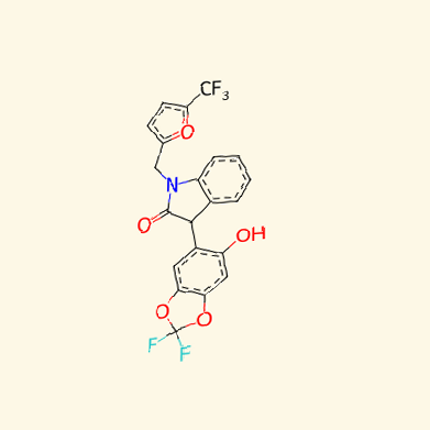 O=C1C(c2cc3c(cc2O)OC(F)(F)O3)c2ccccc2N1Cc1ccc(C(F)(F)F)o1